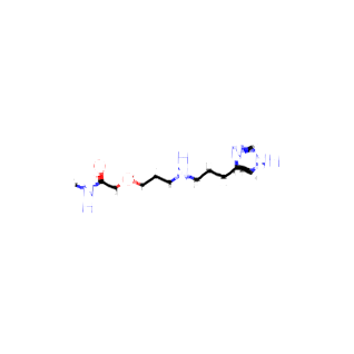 CNC(=O)COCCCNCCCc1c[nH]cn1